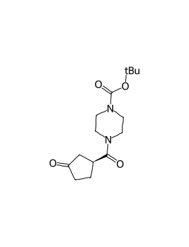 CC(C)(C)OC(=O)N1CCN(C(=O)[C@H]2CCC(=O)C2)CC1